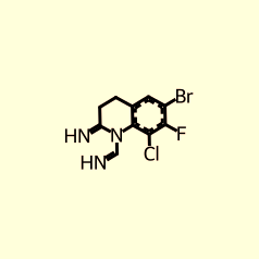 N=CN1C(=N)CCc2cc(Br)c(F)c(Cl)c21